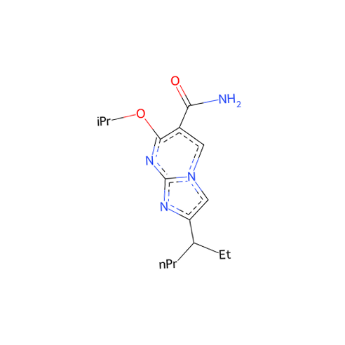 CCCC(CC)c1cn2cc(C(N)=O)c(OC(C)C)nc2n1